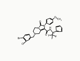 COc1ccc(-n2c(C(=O)N[C@@H](c3ccccc3)C(F)(F)F)c3n(c2=O)CCN(Cc2ccc(Br)c(Cl)c2)C3)cc1